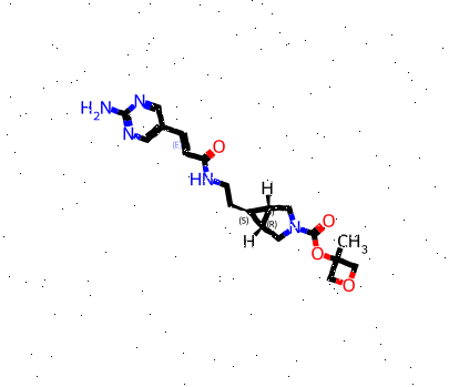 CC1(OC(=O)N2C[C@@H]3[C@@H](CCNC(=O)/C=C/c4cnc(N)nc4)[C@@H]3C2)COC1